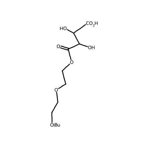 CC(C)COCCOCCOC(=O)C(O)C(O)C(=O)O